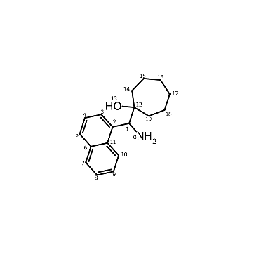 NC(c1cccc2ccccc12)C1(O)CCCCCC1